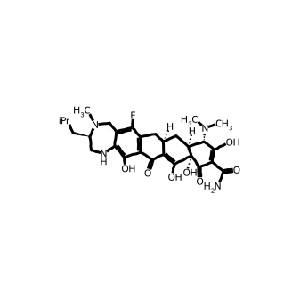 CC(C)C[C@@H]1CNc2c(O)c3c(c(F)c2CN1C)C[C@H]1C[C@H]2[C@H](N(C)C)C(O)=C(C(N)=O)C(=O)[C@@]2(O)C(O)=C1C3=O